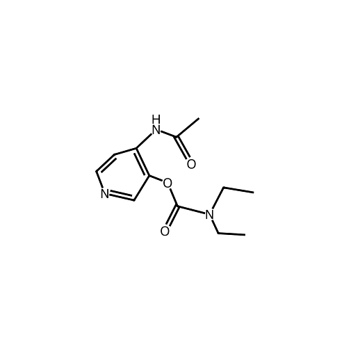 CCN(CC)C(=O)Oc1cnccc1NC(C)=O